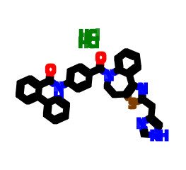 Cl.Cl.O=C(Nc1ccc(C(=O)N2CCc3sc(Cc4c[nH]cn4)nc3-c3ccccc32)cc1)c1ccccc1-c1ccccc1